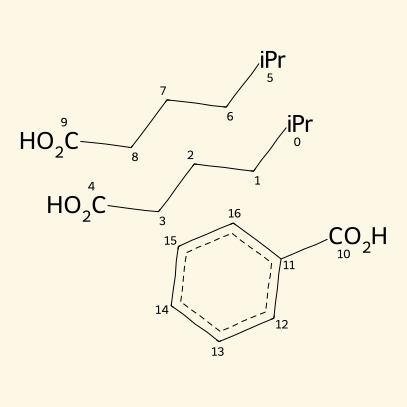 CC(C)CCCC(=O)O.CC(C)CCCC(=O)O.O=C(O)c1ccccc1